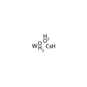 O.O.[CsH].[W]